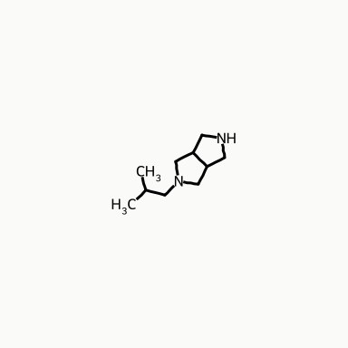 CC(C)CN1CC2CNCC2C1